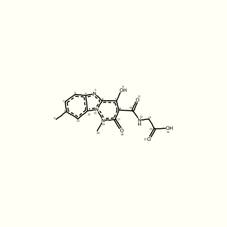 Cc1ccc2nc3c(O)c(C(=O)NCC(=O)O)c(=O)n(C)n3c2c1